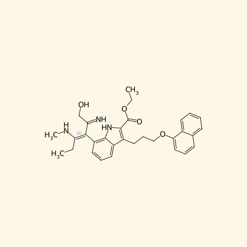 CCOC(=O)c1[nH]c2c(/C(C(=N)CO)=C(\CC)NC)cccc2c1CCCOc1cccc2ccccc12